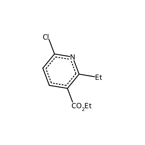 CCOC(=O)c1ccc(Cl)nc1CC